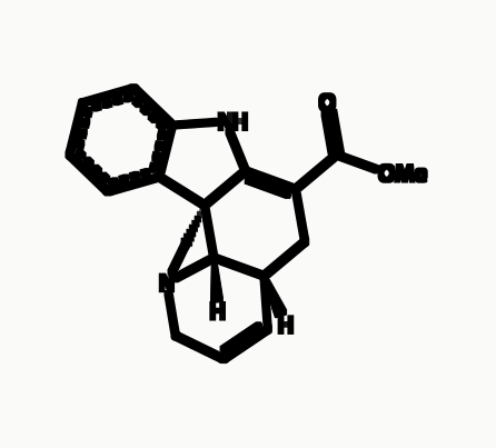 COC(=O)C1=C2Nc3ccccc3[C@@]23CCN2CC=C[C@@H](C1)[C@H]23